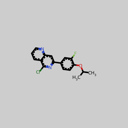 CC(C)Oc1ccc(-c2cc3ncccc3c(Cl)n2)cc1F